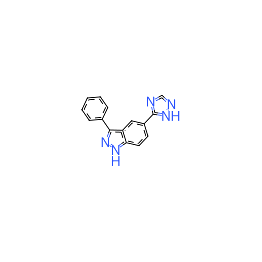 c1ccc(-c2n[nH]c3ccc(-c4ncn[nH]4)cc23)cc1